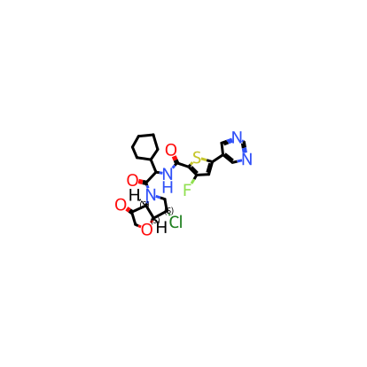 O=C(NC(C(=O)N1C[C@H](Cl)[C@H]2OCC(=O)[C@H]21)C1CCCCC1)c1sc(-c2cncnc2)cc1F